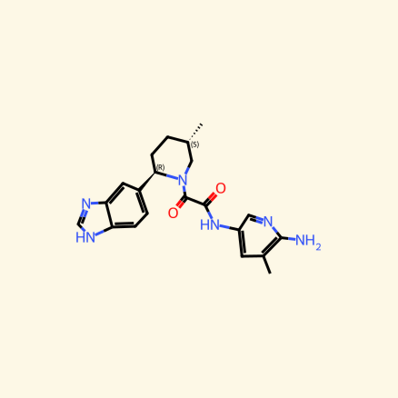 Cc1cc(NC(=O)C(=O)N2C[C@@H](C)CC[C@@H]2c2ccc3[nH]cnc3c2)cnc1N